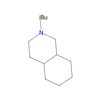 CCC(C)N1CCC2CCCCC2C1